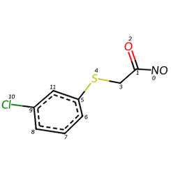 O=NC(=O)CSc1cccc(Cl)c1